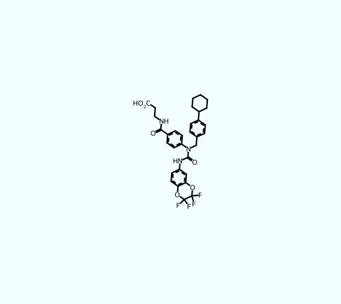 O=C(O)CCNC(=O)c1ccc(N(Cc2ccc(C3CCCCC3)cc2)C(=O)Nc2ccc3c(c2)OC(F)(F)C(F)(F)O3)cc1